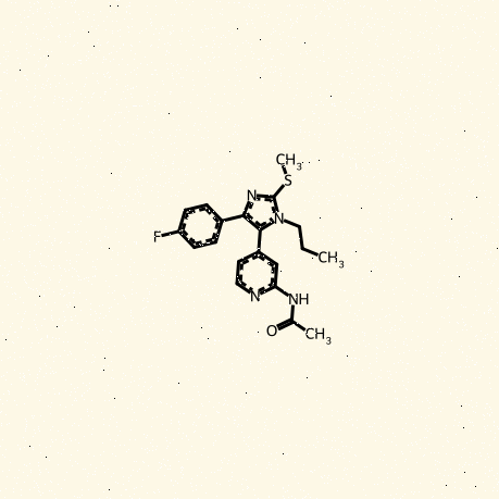 CCCn1c(SC)nc(-c2ccc(F)cc2)c1-c1ccnc(NC(C)=O)c1